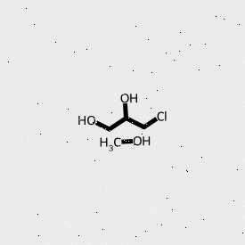 CO.OCC(O)CCl